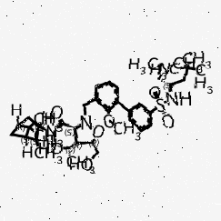 COc1c(CN2O[C@@H](CO)[C@@H]([C@H](C)O)[C@H]2C(=O)N[C@H]2C[C@H]3C[C@@H]([C@@H]2C)C3(C)C)cccc1-c1cccc(S(=O)(=O)N[C@H](CN(C)C)CC(C)(C)C)c1